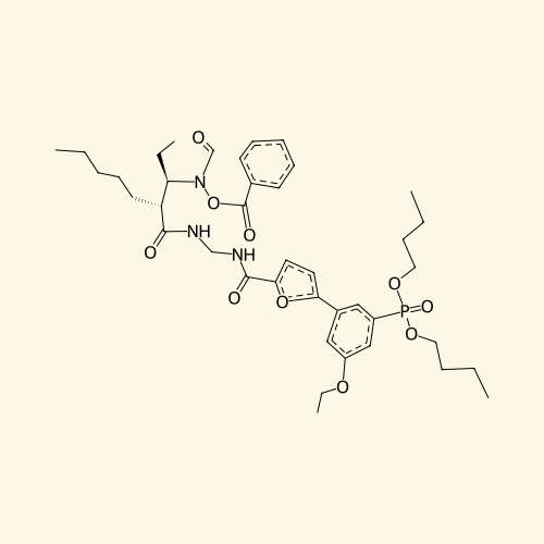 CCCCC[C@@H](C(=O)NCNC(=O)c1ccc(-c2cc(OCC)cc(P(=O)(OCCCC)OCCCC)c2)o1)[C@@H](CC)N(C=O)OC(=O)c1ccccc1